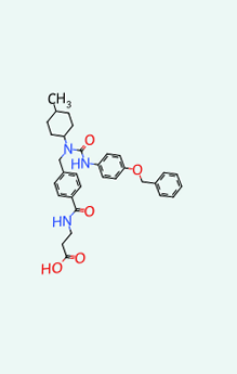 CC1CCC(N(Cc2ccc(C(=O)NCCC(=O)O)cc2)C(=O)Nc2ccc(OCc3ccccc3)cc2)CC1